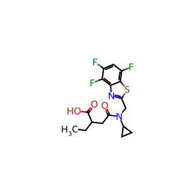 CCC(CC(=O)N(Cc1nc2c(F)c(F)cc(F)c2s1)C1CC1)C(=O)O